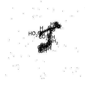 Nc1nc(=O)n([C@H]2C[C@@H](O)[C@@H](COP(=O)(O)OP(=O)(O)OP(=O)(O)O)O2)cc1CCCNC(=O)CCSSCC(NC(=O)OCC1c2ccccc2-c2ccccc21)C(=O)NCCCCCC(=O)NC(CCC(=O)O)C(=O)O